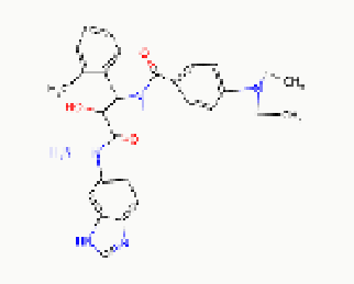 CCN(CC)c1ccc(C(=O)NC(c2ccccc2C)C(O)C(=O)N(N)c2ccc3nc[nH]c3c2)cc1